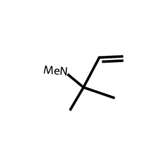 C=CC(C)(C)NC